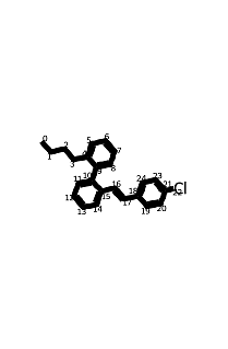 CCCCc1ccccc1-c1ccccc1/C=C/c1ccc(Cl)cc1